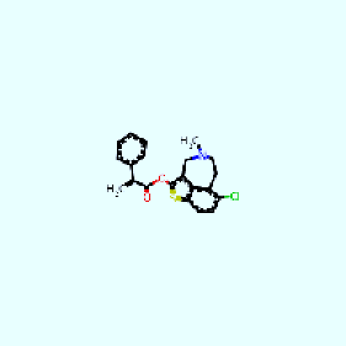 C=C(C(=O)Oc1sc2ccc(Cl)c3c2c1CN(C)CC3)c1ccccc1